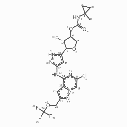 CC1(NC(=O)O[C@H]2CO[C@@H](c3cc(Nc4nc(Cl)cn5nc(COC(F)(F)F)cc45)n[nH]3)[C@@H]2F)CC1